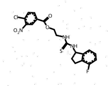 O=C(OCCNC(=S)NC1CCc2c(F)cccc21)c1ccc(Cl)c([N+](=O)[O-])c1